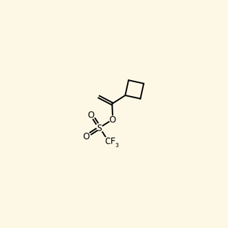 C=C(OS(=O)(=O)C(F)(F)F)C1CCC1